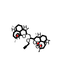 C#CCO[C@@H](C[C@H]1O[C@@H]2O[C@]3(C)CC[C@H]4[C@H](C)CC[C@@H]([C@H]1C)[C@@]24OO3)C1O[C@@H]2O[C@]3(C)CC[C@H]4[C@H](C)CC[C@@H]([C@H]1C)[C@@]24OO3